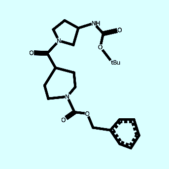 CC(C)(C)OC(=O)NC1CCN(C(=O)C2CCN(C(=O)OCc3ccccc3)CC2)C1